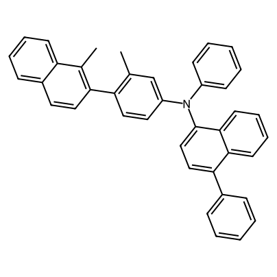 Cc1cc(N(c2ccccc2)c2ccc(-c3ccccc3)c3ccccc23)ccc1-c1ccc2ccccc2c1C